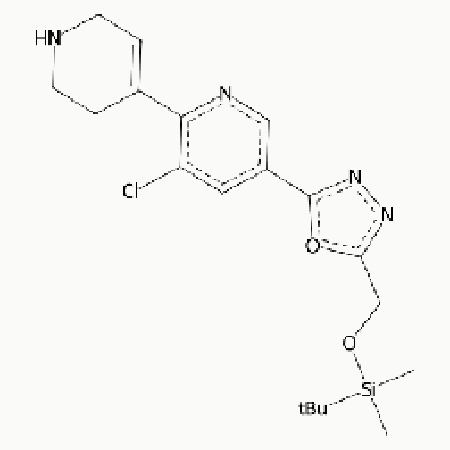 CC(C)(C)[Si](C)(C)OCc1nnc(-c2cnc(C3=CCNCC3)c(Cl)c2)o1